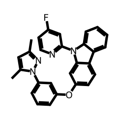 Cc1cc(C)n(-c2cccc(Oc3ccc4c5ccccc5n(-c5cc(F)ccn5)c4c3)c2)n1